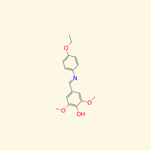 CCOc1ccc(N=Cc2cc(OC)c(O)c(OC)c2)cc1